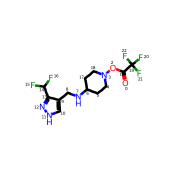 O=C(ON1CCC(NCc2c[nH]nc2C(F)F)CC1)C(F)(F)F